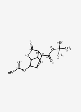 [CH2]CCC(=O)OC1C2CC3C1OC(=O)C3C2C(=O)OC(C)(C)CC